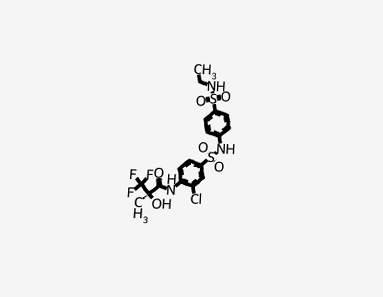 CCNS(=O)(=O)c1ccc(NS(=O)(=O)c2ccc(NC(=O)[C@@](C)(O)C(F)(F)F)c(Cl)c2)cc1